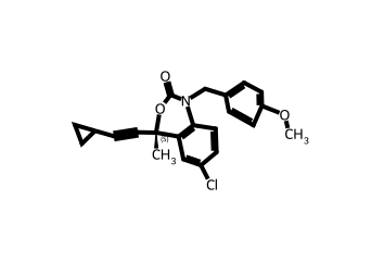 COc1ccc(CN2C(=O)O[C@@](C)(C#CC3CC3)c3cc(Cl)ccc32)cc1